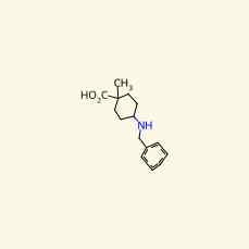 CC1(C(=O)O)CCC(NCc2ccccc2)CC1